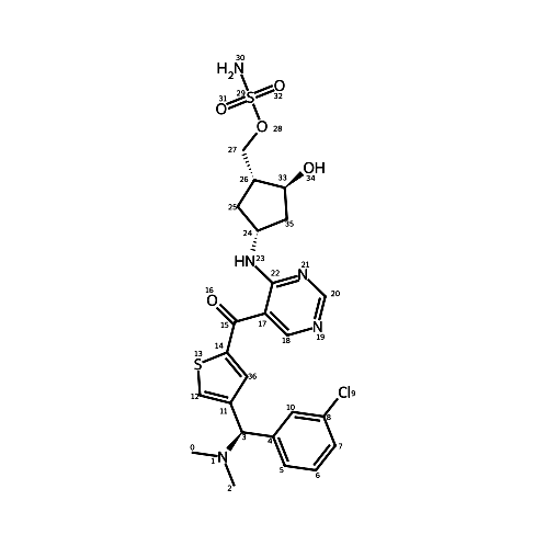 CN(C)[C@H](c1cccc(Cl)c1)c1csc(C(=O)c2cncnc2N[C@@H]2C[C@H](COS(N)(=O)=O)[C@@H](O)C2)c1